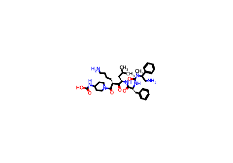 CC(C)C[C@@H](NC(=O)[C@@H](Cc1ccccc1)NC(=O)N(C)C(CN)c1ccccc1)C(=O)[C@@H](CCCCN)C(=O)N1CCC(NC(=O)O)CC1